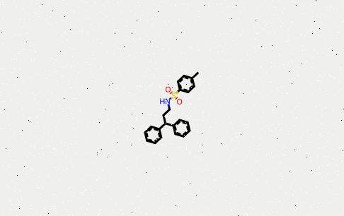 Cc1ccc(S(=O)(=O)NCCC(c2ccccc2)c2ccccc2)cc1